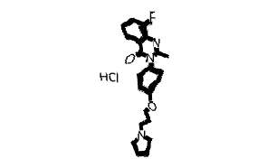 Cc1nc2c(F)cccc2c(=O)n1-c1ccc(OCCCN2CCCC2)cc1.Cl